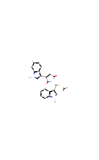 Cn1cc(C2=CC(=O)N(C(OC(=O)C(F)(F)F)c3cn(C)c4ccccc34)C2=O)c2ccc([N+](=O)[O-])cc21